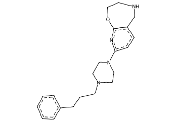 c1ccc(CCCN2CCN(c3ccc4c(n3)OCCNC4)CC2)cc1